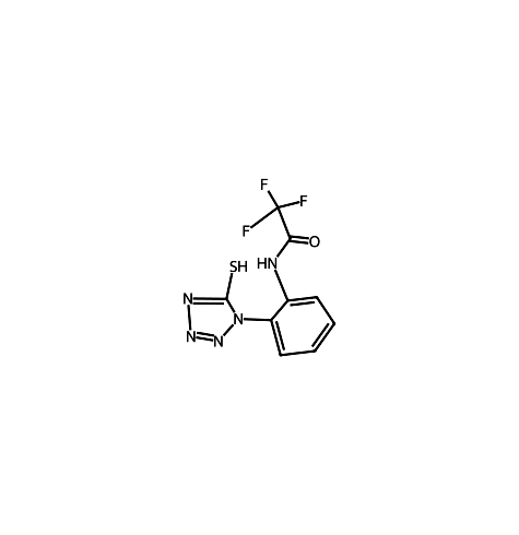 O=C(Nc1ccccc1-n1nnnc1S)C(F)(F)F